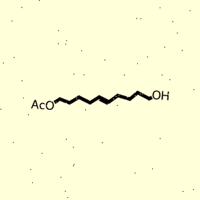 CC(=O)OCCCCC=CCCCCO